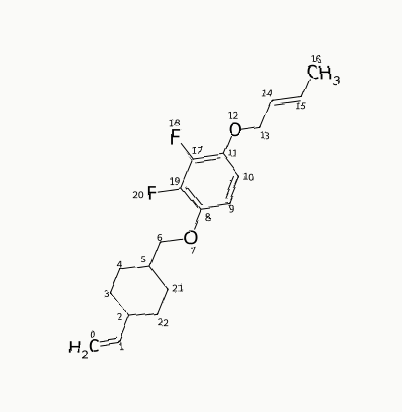 C=CC1CCC(COc2ccc(OCC=CC)c(F)c2F)CC1